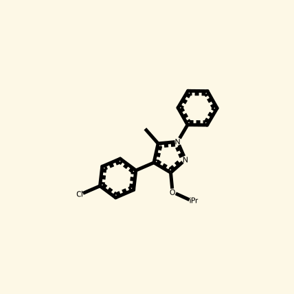 Cc1c(-c2ccc(Cl)cc2)c(OC(C)C)nn1-c1ccccc1